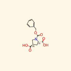 O=C(O)[C@@H]1C[C@@H](C(=O)O)N(C(=O)OCc2ccccc2)C1